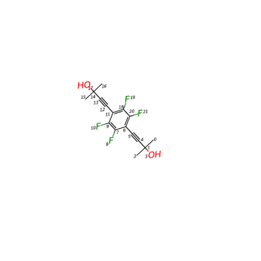 CC(C)(O)C#Cc1c(F)c(F)c(C#CC(C)(C)O)c(F)c1F